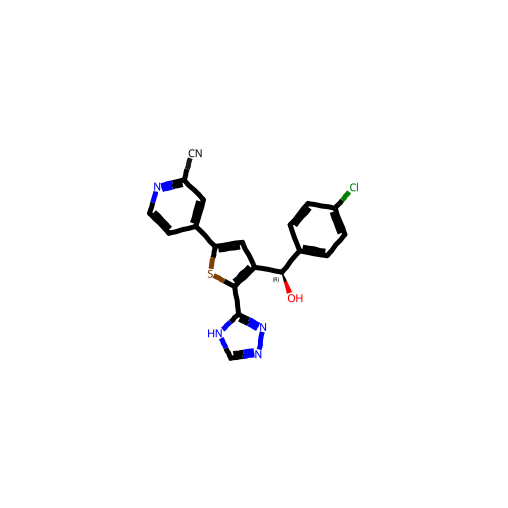 N#Cc1cc(-c2cc([C@H](O)c3ccc(Cl)cc3)c(-c3nnc[nH]3)s2)ccn1